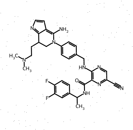 CC(NC(=O)c1nc(C#N)cnc1NCc1ccc(N2CC(CCN(C)C)C3=NC=CC3=C2N)cc1)c1ccc(F)c(F)c1